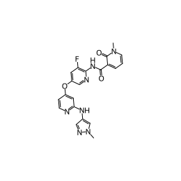 Cn1cc(Nc2cc(Oc3cnc(NC(=O)c4cccn(C)c4=O)c(F)c3)ccn2)cn1